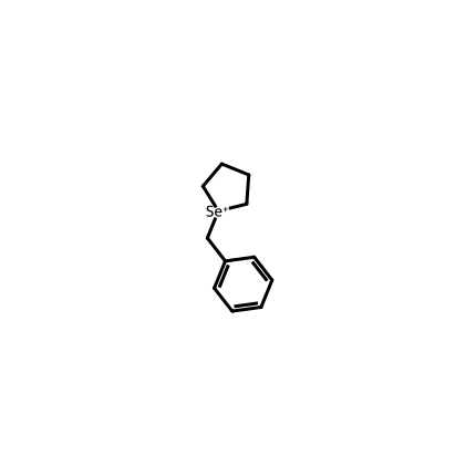 c1ccc(C[Se+]2CCCC2)cc1